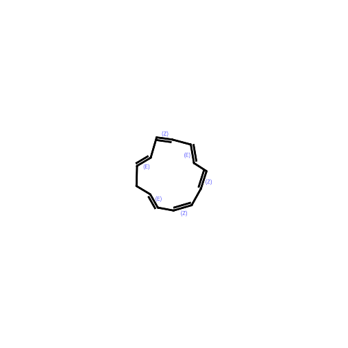 C1=C\C=C\C=C/C=C/C\C=C\C=C/1